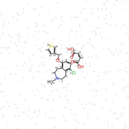 CN1CCc2c(Cl)ccc(OCc3ccsc3)c2CC1.O=C(O)/C=C\C(=O)O